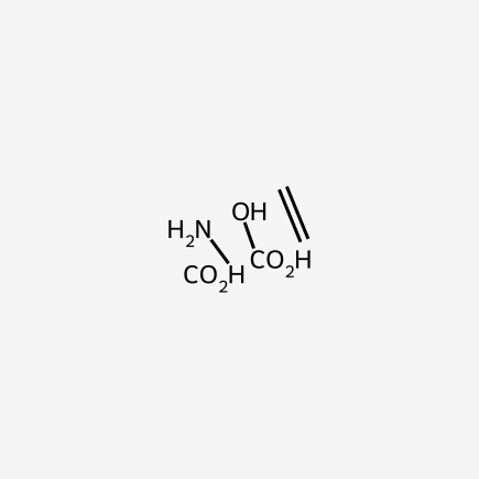 C=C.NC(=O)O.O=C(O)O